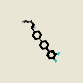 CCCCC/C=C/[C@H]1CC[C@H](C2CCC(c3ccc(F)c(F)c3)CC2)CC1